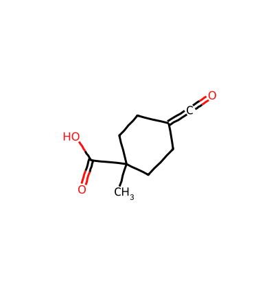 CC1(C(=O)O)CCC(=C=O)CC1